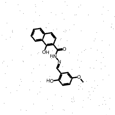 COc1ccc(O)c(C=NNC(=O)c2ccc3ccccc3c2O)c1